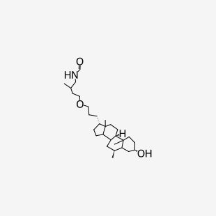 CC(CCOCCC[C@H]1CCC2C3C[C@H](C)C4C[C@H](O)CCC4(C)[C@H]3CCC21C)CNC=O